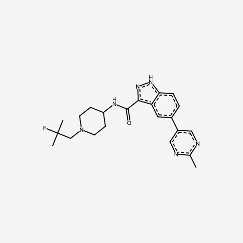 Cc1ncc(-c2ccc3[nH]nc(C(=O)NC4CCN(CC(C)(C)F)CC4)c3c2)cn1